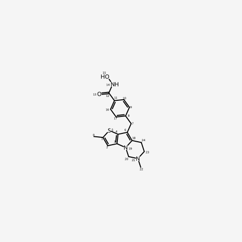 Cc1cc2c(s1)c(Cc1ccc(C(=O)NO)cc1)c1n2CN(C)CC1